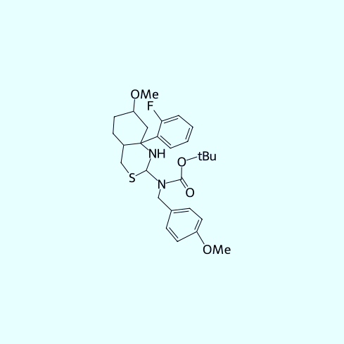 COc1ccc(CN(C(=O)OC(C)(C)C)C2NC3(c4ccccc4F)CC(OC)CCC3CS2)cc1